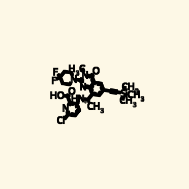 C[C@@H](Nc1ccc(Cl)nc1C(=O)O)c1cc(C#C[Si](C)(C)C)cc2c(=O)n(C)c(N3CCC(F)(F)CC3)nc12